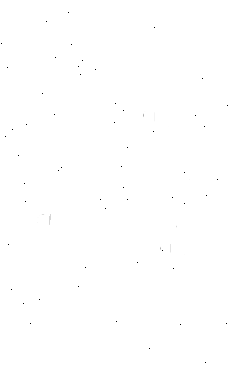 Cc1ccc(Cl)c(-c2cc(Cl)c[c]c2C)c1